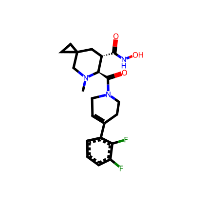 CN1CC2(CC2)C[C@H](C(=O)NO)[C@H]1C(=O)N1CC=C(c2cccc(F)c2F)CC1